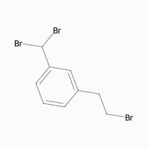 BrCCc1cccc(C(Br)Br)c1